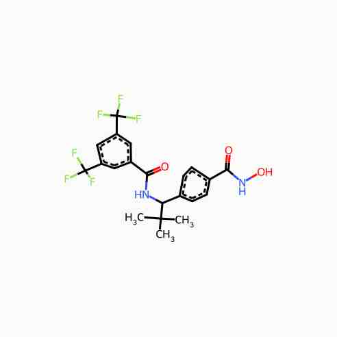 CC(C)(C)C(NC(=O)c1cc(C(F)(F)F)cc(C(F)(F)F)c1)c1ccc(C(=O)NO)cc1